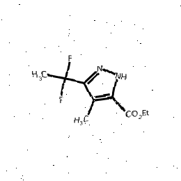 CCOC(=O)c1[nH]nc(C(C)(F)F)c1C